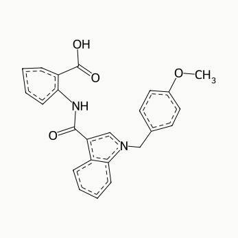 COc1ccc(Cn2cc(C(=O)Nc3ccccc3C(=O)O)c3ccccc32)cc1